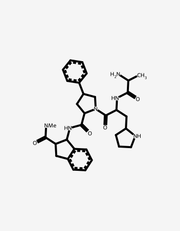 CNC(=O)C1Cc2ccccc2C1NC(=O)C1CC(c2ccccc2)CN1C(=O)C(CC1CCCN1)NC(=O)C(C)N